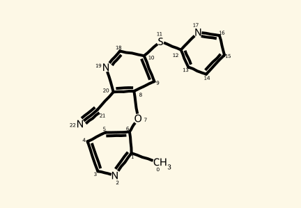 Cc1ncccc1Oc1cc(Sc2ccccn2)cnc1C#N